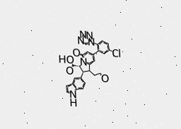 O=CCC1c2cc(-c3cc(Cl)ccc3-n3cnnn3)cc(=O)n2[C@H](C(=O)O)C1c1ccc2[nH]ccc2c1